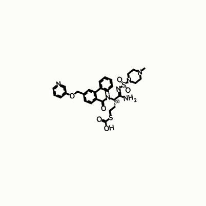 CN1CCN(S(=O)(=O)N=C(N)[C@H](CCSC(=O)O)NC(=O)c2ccc(COc3cccnc3)cc2-c2ccccc2)CC1